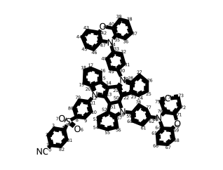 N#Cc1ccc(S(=O)(=O)c2ccc(-n3c4c(c5ccccc53)-c3c(c5ccccc5n3-c3ccc(N5c6ccccc6Oc6ccccc65)cc3)C3C4c4ccccc4N3c3ccc(N4c5ccccc5Oc5ccccc54)cc3)cc2)cc1